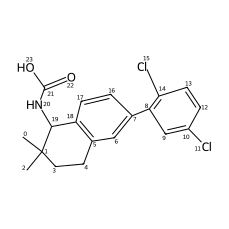 CC1(C)CCc2cc(-c3cc(Cl)ccc3Cl)ccc2C1NC(=O)O